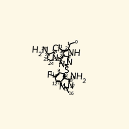 CCc1[nH]c2nc(Sc3cc(F)cc4nc(C)nc(N)c34)nc(N3CCC(N)C3)c2c1Cl